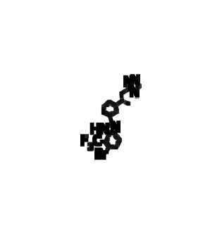 C[C@H](Cc1nncn1C)c1cccc(-c2nc3ccc(Br)c(C(F)(F)F)c3[nH]2)c1